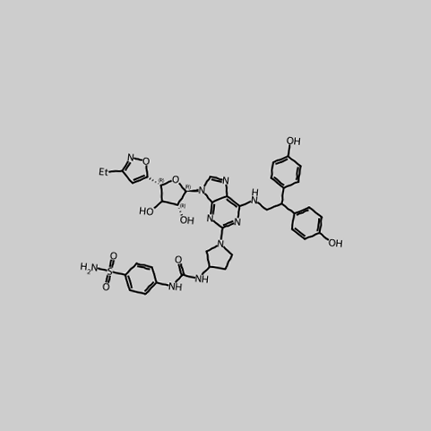 CCc1cc([C@@H]2O[C@@H](n3cnc4c(NCC(c5ccc(O)cc5)c5ccc(O)cc5)nc(N5CCC(NC(=O)Nc6ccc(S(N)(=O)=O)cc6)C5)nc43)[C@H](O)C2O)on1